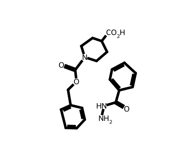 NNC(=O)c1ccccc1.O=C(O)C1CCN(C(=O)OCc2ccccc2)CC1